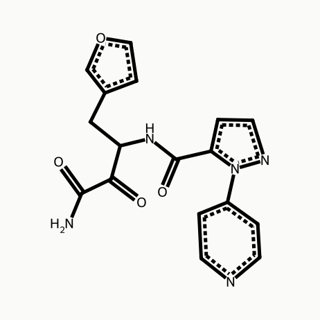 NC(=O)C(=O)C(Cc1ccoc1)NC(=O)c1ccnn1-c1ccncc1